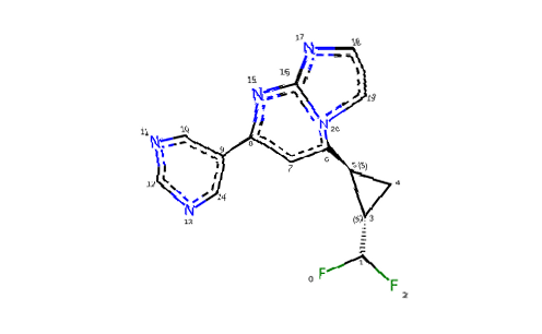 FC(F)[C@H]1C[C@@H]1c1cc(-c2cncnc2)nc2nccn12